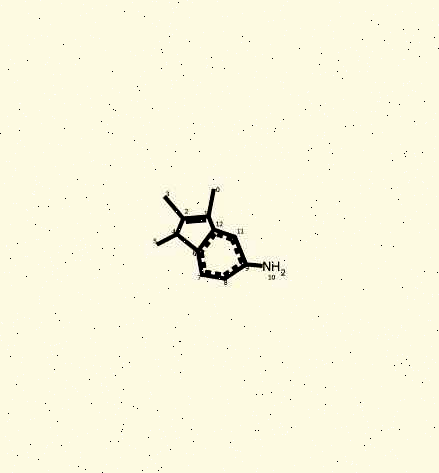 CC1=C(C)C(C)c2ccc(N)cc21